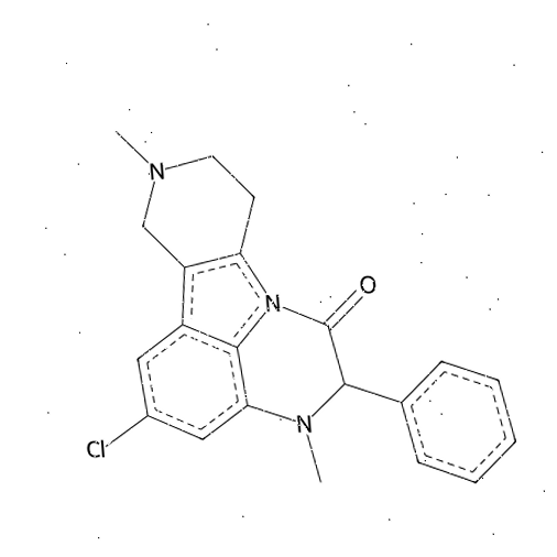 CN1CCc2c(c3cc(Cl)cc4c3n2C(=O)C(c2ccccc2)N4C)C1